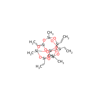 C=C[Si]12O[Si]3(C)O[Si]4(C=C)O[Si](C)(O1)O[Si]1(C=C)O[Si](C)(O2)O[Si](C=C)(O3)O[Si](C)(O4)O1